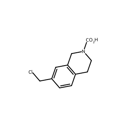 O=C(O)N1CCc2ccc(CCl)cc2C1